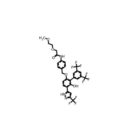 COCCOCC(=O)Nc1ccc(COc2ccc(-c3cc(C(F)(F)F)n[nH]3)c(O)c2-c2cc(C(F)(F)F)cc(C(F)(F)F)c2)cc1